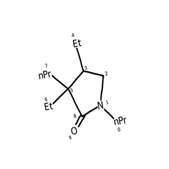 CCCN1CC(CC)C(CC)(CCC)C1=O